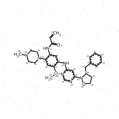 C=CC(=O)Nc1cc(Nc2cc(N3OCC[C@@H]3Cc3ccccc3)ncn2)c(OC)cc1N1CCN(C)CC1